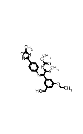 CCOc1cc(CO)cc(C(=Nc2ccc(-c3noc(C)n3)cc2)C(=NC(=O)OC)SC)c1